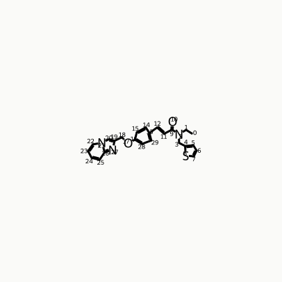 CCN(Cc1cccs1)C(=O)C=Cc1ccc(OCc2cn3ccccc3n2)cc1